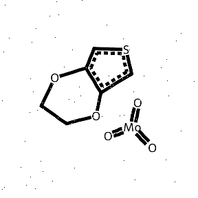 [O]=[Mo](=[O])=[O].c1scc2c1OCCO2